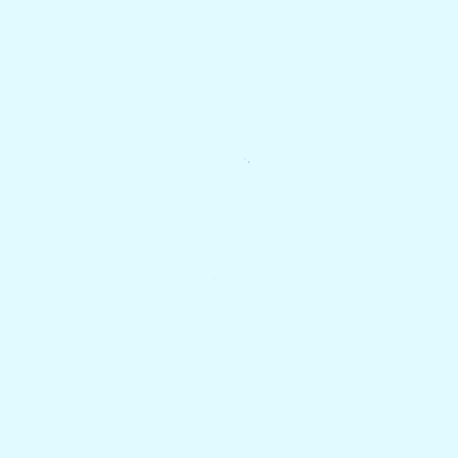 CC1C(F)=Cc2c(ccc3c(Cl)nccc23)C1F